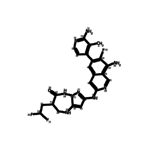 Cc1c(-c2cc3cc(Nc4cc5n(n4)NC(=O)C(CC(F)F)CN5)ncc3c(N)c2F)ccnc1N